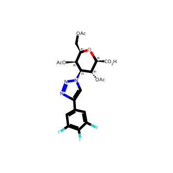 CC(=O)OC[C@H]1O[C@@H](C(=O)O)[C@H](OC(C)=O)[C@@H](n2cc(-c3cc(F)c(F)c(F)c3)nn2)[C@H]1OC(C)=O